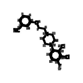 N#Cc1cccc(OCCN2CCN(c3ccc(F)c(Cl)c3Cl)CC2)c1